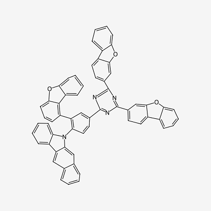 c1ccc2cc3c(cc2c1)c1ccccc1n3-c1ccc(-c2nc(-c3ccc4c(c3)oc3ccccc34)nc(-c3ccc4c(c3)oc3ccccc34)n2)cc1-c1cccc2oc3ccccc3c12